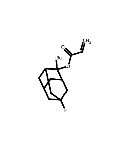 C=CC(=O)OC1(C(C)CC)C2CC3CC1CC(F)(C3)C2